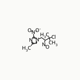 Cc1cn(CC(N=O)C(C)(C)Cl)c([N+](=O)[O-])n1